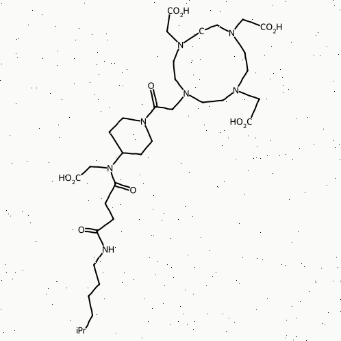 CC(C)CCCCNC(=O)CCC(=O)N(CC(=O)O)C1CCN(C(=O)CN2CCN(CC(=O)O)CCN(CC(=O)O)CCN(CC(=O)O)CC2)CC1